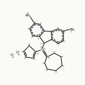 CC(C)(C)c1ccc2c(c1)-c1cc(C(C)(C)C)ccc1[CH]2[Ti+2]([C]1=CC=CC1)=[C]1CCCCCC1.[Cl-].[Cl-]